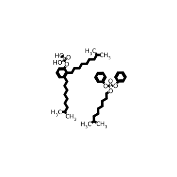 CC(C)CCCCCCCOP(=O)(Oc1ccccc1)Oc1ccccc1.CC(C)CCCCCCCc1cccc(OP(=O)(O)O)c1CCCCCCCC(C)C